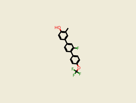 Cc1cc(-c2ccc(-c3ccc(OC(F)(F)F)cc3)c(F)c2)ccc1O